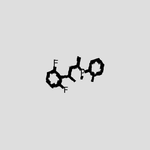 C=C(CC(C)c1c(F)cccc1F)P(C)c1ccccc1C